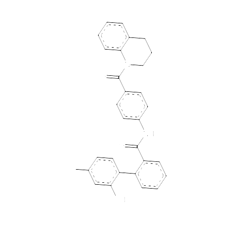 Cc1ccc(-c2ccccc2C(=O)Nc2ccc(C(=O)N3CCCc4ccccc43)cc2)c(C)c1